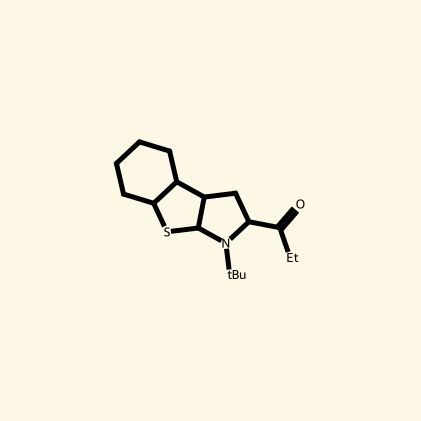 CCC(=O)C1CC2C3CCCCC3SC2N1C(C)(C)C